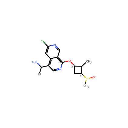 CCC(N)c1cnc(O[C@@H]2C[C@H]([S+](C)[O-])C2C)c2cnc(Cl)cc12